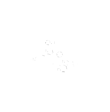 C=C1NC=CC=C=C1N/C1=C(\C)C(=C)CCCCC1c1ccc(C(/C=C(\N)C=CCC=N)=C/Cc2ccc[nH]2)cc1